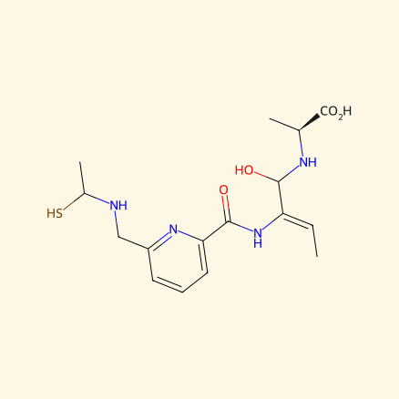 C/C=C(\NC(=O)c1cccc(CNC(C)S)n1)C(O)N[C@@H](C)C(=O)O